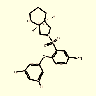 N#Cc1ccc(Oc2cc(Cl)cc(Cl)c2)c(S(=O)(=O)N2C[C@@H]3CCCN[C@@H]3C2)c1